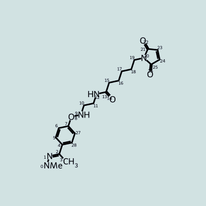 CN/N=C(\C)c1ccc(ONCCNC(=O)CCCCCN2C(=O)C=CC2=O)cc1